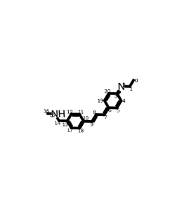 CCN=C1C=CC(=C/C=C/c2ccc(CNC)cc2)C=C1